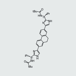 CC(C)[C@H](NC(=O)C(C)(C)C)c1nc(-c2ccc3c(c2)CCc2cc(-c4c[nH]c([C@@H](NC(=O)C(C)(C)C)C(C)C)n4)ccc2-3)c[nH]1